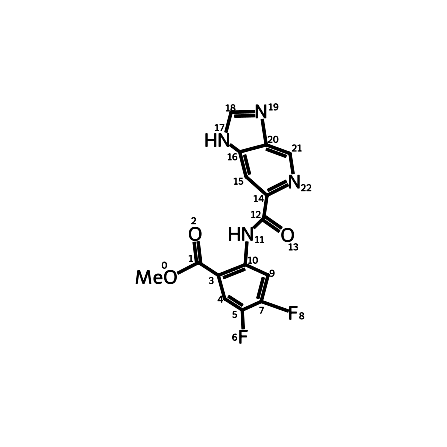 COC(=O)c1cc(F)c(F)cc1NC(=O)c1cc2[nH]cnc2cn1